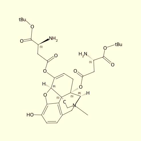 CN1CC[C@]23c4c5ccc(O)c4O[C@H]2C(OC(=O)C[C@H](N)C(=O)OC(C)(C)C)=CC[C@@]3(OC(=O)C[C@H](N)C(=O)OC(C)(C)C)[C@H]1C5